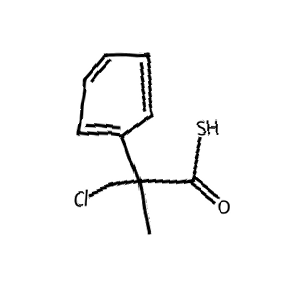 CC(Cl)(C(=O)S)c1ccccc1